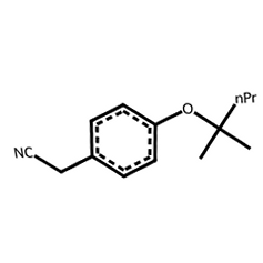 CCCC(C)(C)Oc1ccc(CC#N)cc1